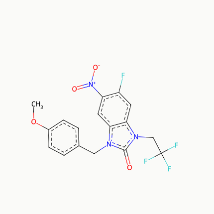 COc1ccc(Cn2c(=O)n(CC(F)(F)F)c3cc(F)c([N+](=O)[O-])cc32)cc1